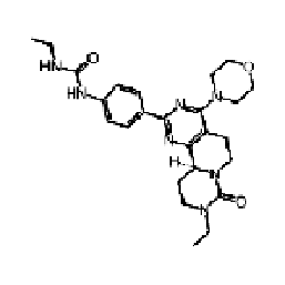 CCNC(=O)Nc1ccc(-c2nc3c(c(N4CCOCC4)n2)CCN2C(=O)N(CC)CC[C@@H]32)cc1